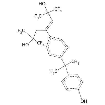 CC(C)(c1ccc(O)cc1)c1ccc(/C(=C/C(O)(C(F)(F)F)C(F)(F)F)CC(O)(C(F)(F)F)C(F)(F)F)cc1